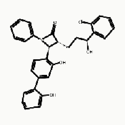 O=C1[C@H](CC[C@H](O)c2ccccc2Cl)[C@@H](c2ccc(-c3ccccc3O)cc2O)N1c1ccccc1